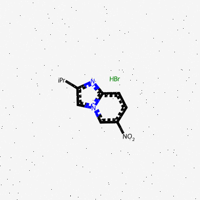 Br.CC(C)c1cn2cc([N+](=O)[O-])ccc2n1